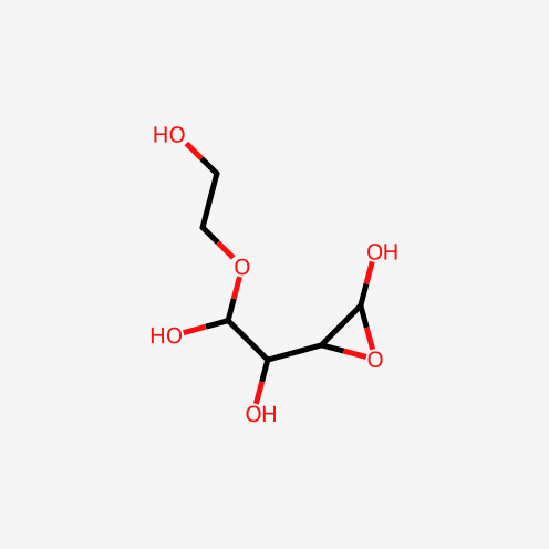 OCCOC(O)C(O)C1OC1O